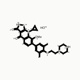 COc1c(-c2cc(C)c(OCCN3CCNCC3)c(C)c2)ccc2c(=O)c3c(=O)[nH]sc3n(C3CC3)c12.Cl